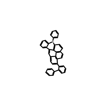 c1ccc(B2c3ccccc3-c3cc4ccc(-c5ccccc5-c5ccccc5)c5ccc6ccc2c3c6c45)cc1